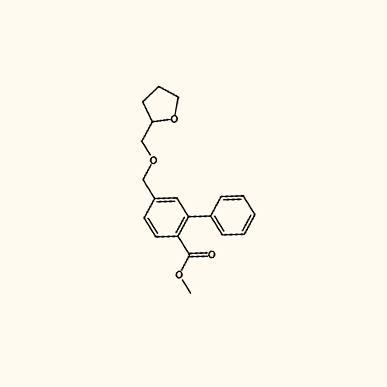 COC(=O)c1ccc(COCC2CCCO2)cc1-c1ccccc1